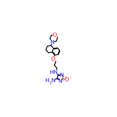 Nc1n[s+]([O-])nc1NCCCOc1cccc2c1CCCC2N1CCOCC1